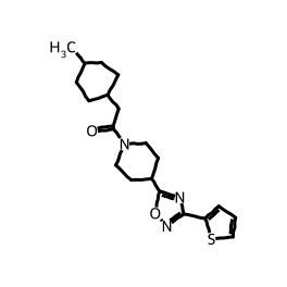 CC1CCC(CC(=O)N2CCC(c3nc(-c4cccs4)no3)CC2)CC1